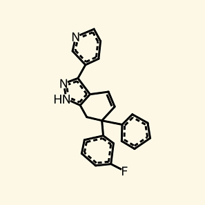 Fc1cccc(C2(c3ccccc3)C=Cc3c(-c4cccnc4)n[nH]c3C2)c1